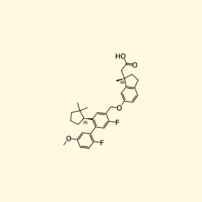 COc1ccc(F)c(-c2cc(F)c(COc3ccc4c(c3)[C@](C)(CC(=O)O)CC4)cc2[C@H]2CCCC2(C)C)c1